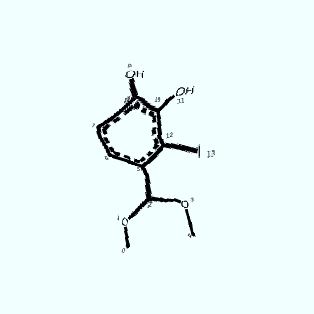 COC(OC)c1ccc(O)c(O)c1I